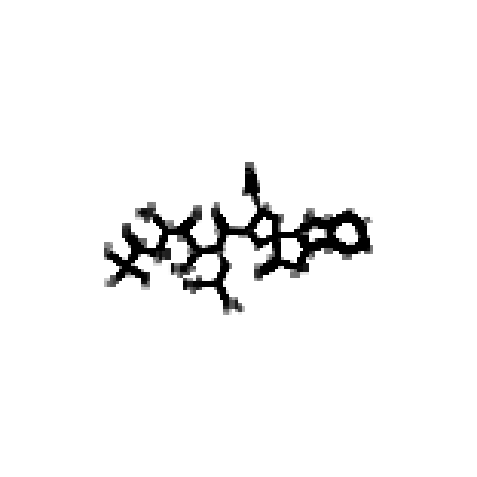 CC(C)C[C@@H](C(=O)N1C[C@]2(C[C@H]1C#N)C(=O)Nc1c3ccccc3nn12)N(C)C(=O)[C@H](C)NC(=O)C(F)(F)F